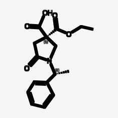 CCOC(=O)[C@@]1(C(=O)O)CC(=O)N([C@H](C)c2ccccc2)C1